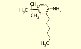 CCCCCCc1cc(C(C)(C)C)ccc1N